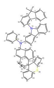 CC1(C)c2ccccc2-c2c(-n3c4ccccc4c4ccc(N(c5ccccc5)c5ccc6c7c(cccc57)C5(c7ccccc7Sc7ccccc75)c5ccccc5-6)cc43)cccc21